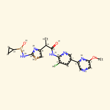 CCOc1cncc(-c2cnc(NC(=O)C(CC)c3csc(N[S+]([O-])C4CC4)n3)c(F)c2)n1